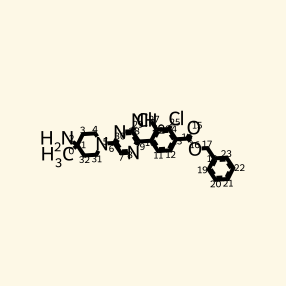 CC1(N)CCN(c2cnc(-c3ccc(C(=O)OCc4ccccc4)c(Cl)c3Cl)c(N)n2)CC1